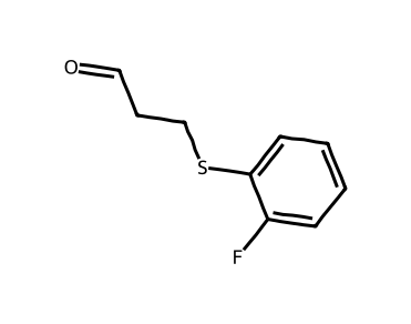 O=CCCSc1ccccc1F